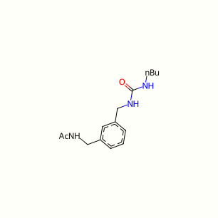 CCCCNC(=O)NCc1cccc(CNC(C)=O)c1